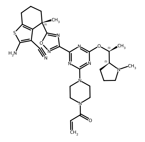 C=CC(=O)N1CCN(c2nc(O[C@@H](C)[C@@H]3CCCN3C)nc(-c3noc([C@@]4(C)CCCc5sc(N)c(C#N)c54)n3)n2)CC1